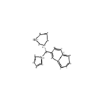 c1ccc2cc(C([C@H]3CCCNC3)n3cccn3)ccc2c1